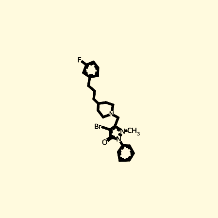 Cn1c(CN2CCC(CCCc3cccc(F)c3)CC2)c(Br)c(=O)n1-c1ccccc1